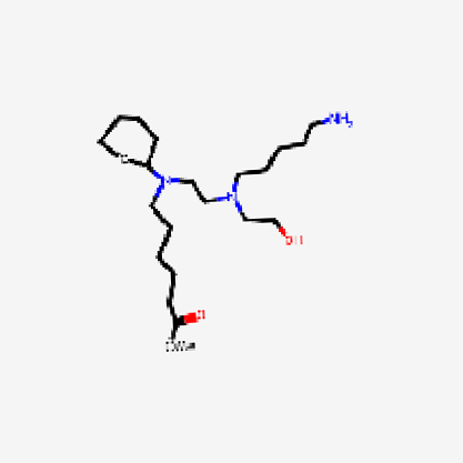 COC(=O)CCCCCN(CCN(CCO)CCCCCN)C1CCCCC1